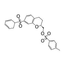 Cc1ccc(S(=O)(=O)OC[C@@H]2CCc3ccc(S(=O)(=O)C4C=CC=CC4)cc3O2)cc1